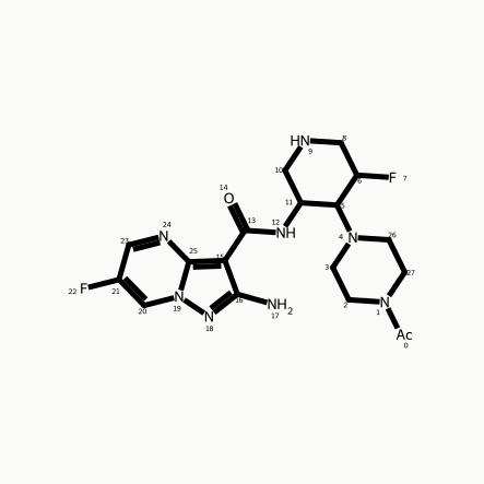 CC(=O)N1CCN(C2C(F)CNCC2NC(=O)c2c(N)nn3cc(F)cnc23)CC1